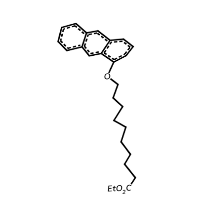 CCOC(=O)CCCCCCCCCOc1cccc2cc3ccccc3cc12